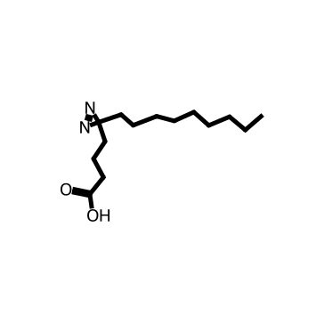 CCCCCCCCCC1(CCCC(=O)O)N=N1